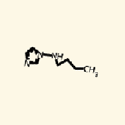 CCCCNn1ccnc1